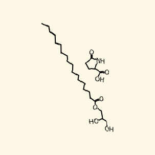 CCCCCCCCCCCCCCCCCC(=O)OCC(O)CO.O=C1CCC(C(=O)O)N1